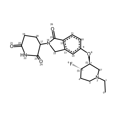 CCN1CC[C@H](F)[C@@H](Oc2ccc3c(c2)CN(C2CCC(=O)NC2=O)C3=O)C1